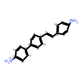 Nc1ccc(/C=C/c2ccc(-c3ccc(N)cc3)cc2)cc1